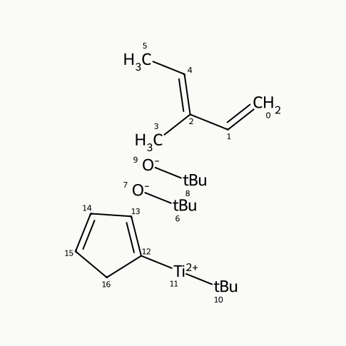 C=CC(C)=CC.CC(C)(C)[O-].CC(C)(C)[O-].C[C](C)(C)[Ti+2][C]1=CC=CC1